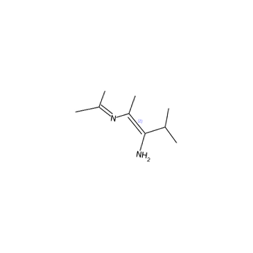 CC(C)=N/C(C)=C(\N)C(C)C